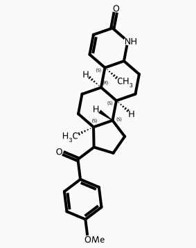 COc1ccc(C(=O)C2CC[C@H]3[C@@H]4CCC5NC(=O)C=C[C@]5(C)[C@@H]4CC[C@]23C)cc1